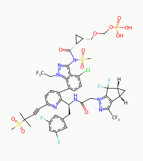 CC(C)(C#Cc1ccc(-c2ccc(Cl)c3c(N(C(=O)[C@@H]4C[C@@H]4COCOP(=O)(O)O)S(C)(=O)=O)nn(CC(F)(F)F)c23)c([C@H](Cc2cc(F)cc(F)c2)NC(=O)Cn2nc(C(F)(F)F)c3c2C(F)(F)[C@@H]2C[C@H]32)n1)S(C)(=O)=O